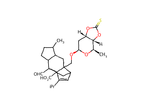 CC(C)C1=CC2CC3(C=O)C4CCC(C)C4CC2(CO[C@H]2C[C@@H]4OC(=S)O[C@@H]4[C@@H](C)O2)C13C(=O)O